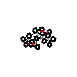 c1ccc(-c2ccc3c(c2)N(c2cccc([Si](c4ccccc4)(c4ccccc4)c4ccccc4)c2)c2cc(-n4c5ccccc5c5ccccc54)cc4c2B3c2c(-c3ccccc3)cccc2N4c2cccc([Si](c3ccccc3)(c3ccccc3)c3ccccc3)c2)cc1